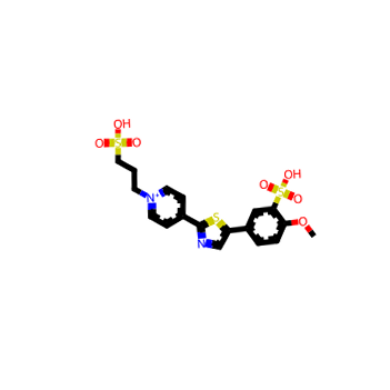 COc1ccc(-c2cnc(-c3cc[n+](CCCS(=O)(=O)O)cc3)s2)cc1S(=O)(=O)O